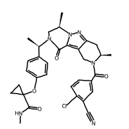 CNC(=O)C1(Oc2ccc([C@@H](C)N3C[C@@H](C)n4nc5c(c4C3=O)CN(C(=O)c3ccc(Cl)c(C#N)c3)[C@H](C)C5)cc2)CC1